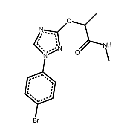 CNC(=O)C(C)Oc1ncn(-c2ccc(Br)cc2)n1